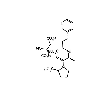 CCOC(=O)[C@H](CCc1ccccc1)N[C@@H](C)C(=O)N1CCC[C@H]1C(=O)O.O=C(O)CC(O)C(=O)O